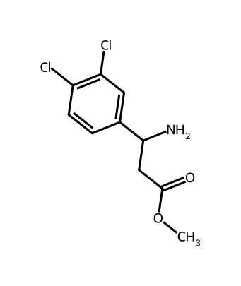 COC(=O)CC(N)c1ccc(Cl)c(Cl)c1